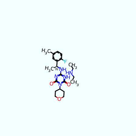 CCNCC.Cc1ccc(F)c([C@H](C)Nc2nc(=O)n(C3CCOCC3)c(=O)[nH]2)c1